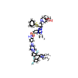 Cc1cc(S(=O)(=O)Nc2ccc(N3CCN(c4ccc(F)c(-c5cc(C)n(C)c5-c5ccc(F)cc5)c4F)CC3)cc2)ccc1N[C@H](CCN1CCC(C)(O)CC1)CSc1ccccc1